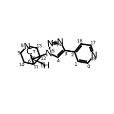 c1cc(-c2cn([C@H]3CN4CCC3CC4)nn2)ccn1